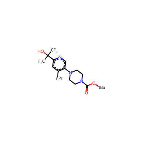 CCCc1cc(C(O)(C(F)(F)F)C(F)(F)F)ncc1N1CCN(C(=O)OC(C)(C)C)CC1